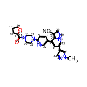 Cn1cc(-c2cc(-c3ccc(N4CCN(C(=O)C5CCCO5)CC4)nc3)c3c(C#N)cnn3c2)cn1